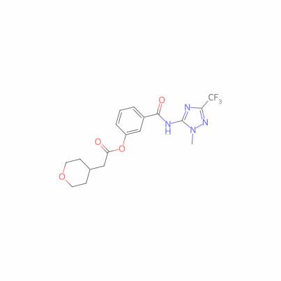 Cn1nc(C(F)(F)F)nc1NC(=O)c1cccc(OC(=O)CC2CCOCC2)c1